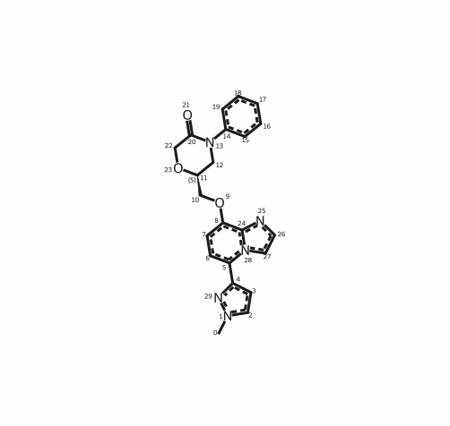 Cn1ccc(-c2ccc(OC[C@@H]3CN(c4ccccc4)C(=O)CO3)c3nccn23)n1